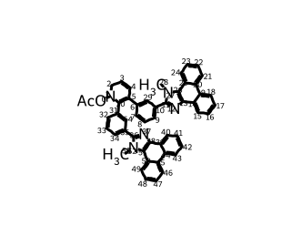 CC(=O)ON1CC=CC(c2cccc(-c3nc4c5ccccc5c5ccccc5c4n3C)c2)=C1c1cccc(-c2nc3c4ccccc4c4ccccc4c3n2C)c1